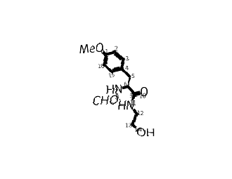 COc1ccc(C[C@H](N[C]=O)C(=O)NCCO)cc1